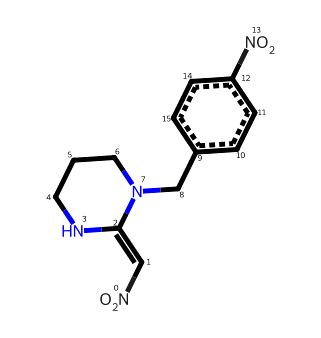 O=[N+]([O-])C=C1NCCCN1Cc1ccc([N+](=O)[O-])cc1